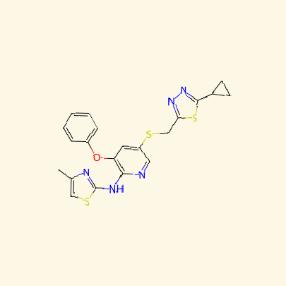 Cc1csc(Nc2ncc(SCc3nnc(C4CC4)s3)cc2Oc2ccccc2)n1